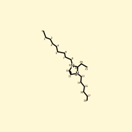 CCCCCCCCCN1C=CN(CCCCCC)C1CC